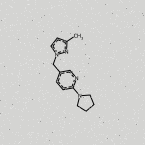 Cc1ccn(Cc2ccc(N3CCCC3)nc2)n1